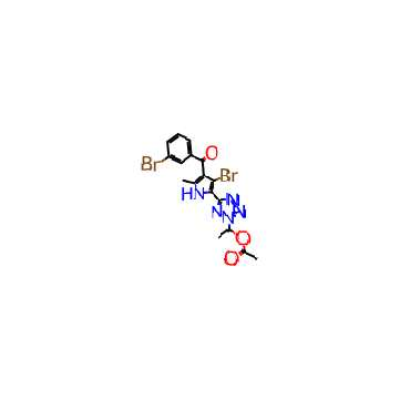 CC(=O)OC(C)n1nnc(-c2[nH]c(C)c(C(=O)c3cccc(Br)c3)c2Br)n1